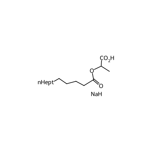 CCCCCCCCCCCC(=O)OC(C)C(=O)O.[NaH]